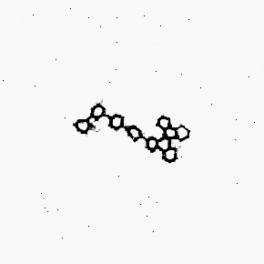 C1=Cc2c(c3ccccc3c3c4cc(-c5ccc(-c6ccc(-c7cccc8c7oc7ccccc78)cc6)cc5)ccc4c4ccccc4c23)CC1